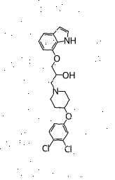 OC(COc1cccc2cc[nH]c12)CN1CCC(Oc2ccc(Cl)c(Cl)c2)CC1